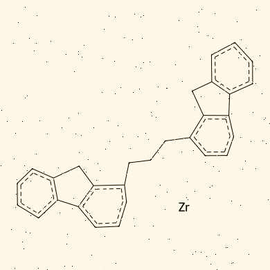 [Zr].c1ccc2c(c1)Cc1c(CCCc3cccc4c3Cc3ccccc3-4)cccc1-2